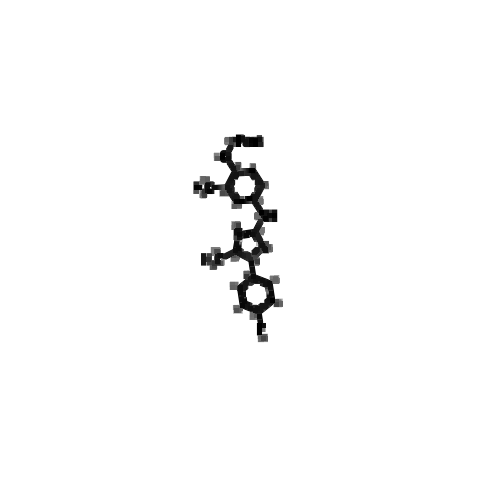 CCCCCOc1ccc(Nc2nc(-c3ccc(F)cc3)c(C)s2)cc1C(F)(F)F